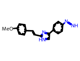 COc1ccc(C=Cc2nc(-c3ccc(N=N)cc3)c[nH]2)cc1